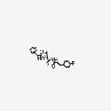 O=C(C=Cc1ccc(F)cc1)NC(=S)NNC(=O)Cc1cccs1